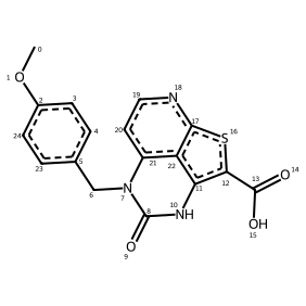 COc1ccc(CN2C(=O)Nc3c(C(=O)O)sc4nccc2c34)cc1